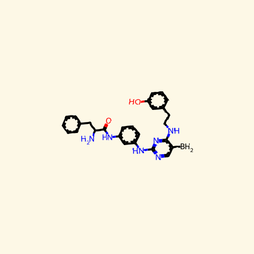 Bc1cnc(Nc2cccc(NC(=O)C(N)Cc3ccccc3)c2)nc1NCCc1cccc(O)c1